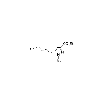 CCOC(=O)c1cc(CCCCCl)n(CC)n1